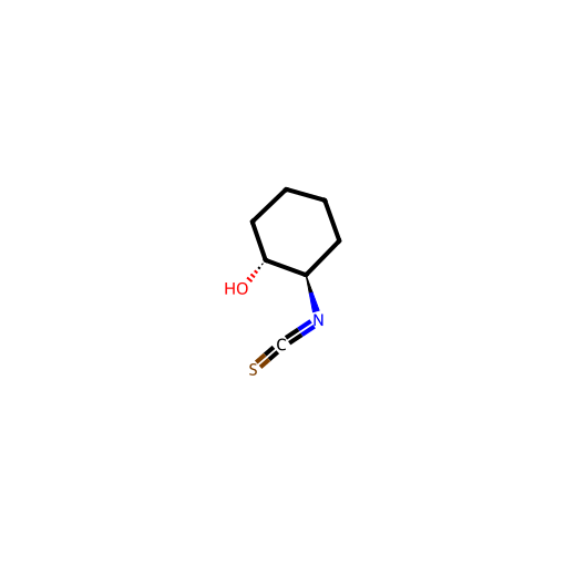 O[C@@H]1CCCC[C@H]1N=C=S